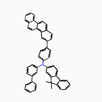 CC1(C)c2ccccc2-c2ccc(N(c3ccc(-c4ccc5ccc6c7ccccc7ccc6c5c4)cc3)c3cccc(-c4ccccc4)c3)cc21